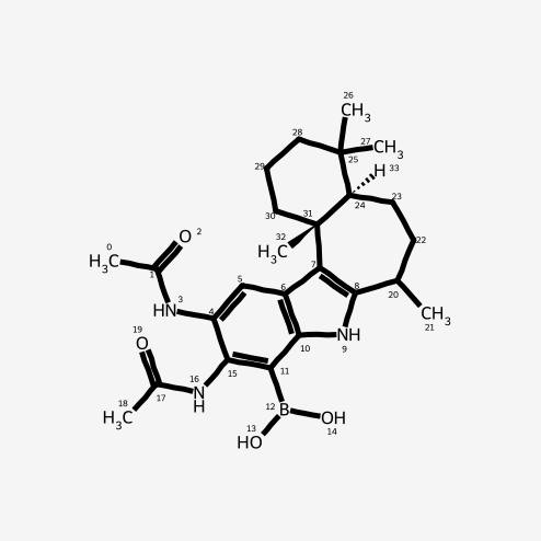 CC(=O)Nc1cc2c3c([nH]c2c(B(O)O)c1NC(C)=O)C(C)CC[C@@H]1C(C)(C)CCC[C@@]31C